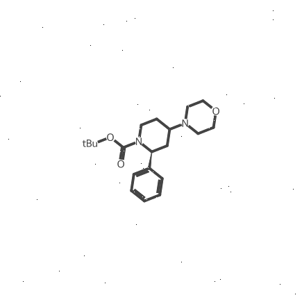 CC(C)(C)OC(=O)N1CCC(N2CCOCC2)C[C@H]1c1ccccc1